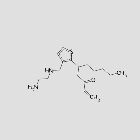 C=CC(=O)CC(CCCCC)c1sccc1CNCCN